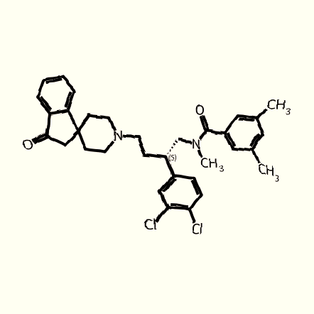 Cc1cc(C)cc(C(=O)N(C)C[C@@H](CCN2CCC3(CC2)CC(=O)c2ccccc23)c2ccc(Cl)c(Cl)c2)c1